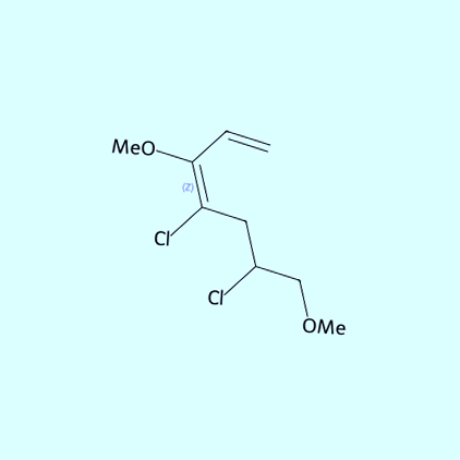 C=C/C(OC)=C(/Cl)CC(Cl)COC